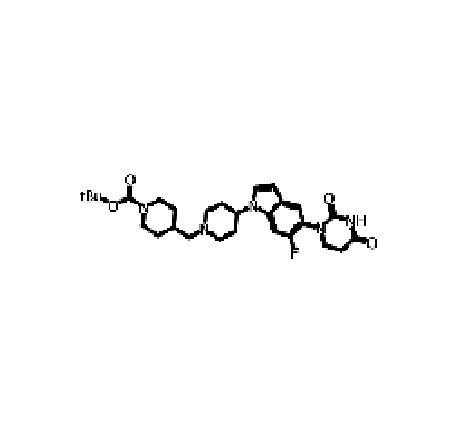 CC(C)(C)OC(=O)N1CCC(CN2CCC(n3ccc4cc(N5CCC(=O)NC5=O)c(F)cc43)CC2)CC1